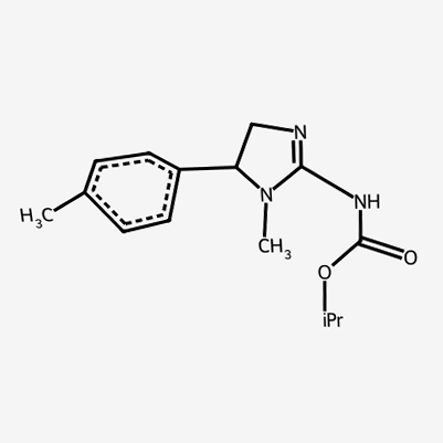 Cc1ccc(C2CN=C(NC(=O)OC(C)C)N2C)cc1